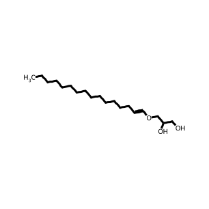 CCCCCCCCCCCCCCC=COCC(O)CO